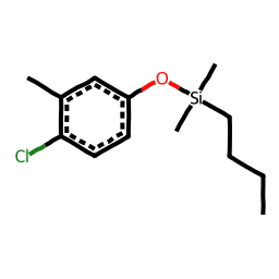 CCCC[Si](C)(C)Oc1ccc(Cl)c(C)c1